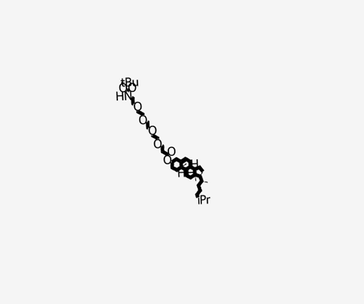 CC(C)CCC[C@@H](C)[C@H]1CC[C@H]2[C@@H]3CC=C4CC(OC(=O)CCOCCOCCOCCOCCNC(=O)OC(C)(C)C)CC[C@]4(C)[C@H]3CC[C@]12C